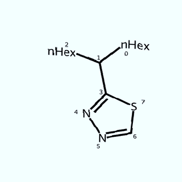 CCCCCCC(CCCCCC)c1nncs1